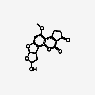 COc1cc2c(c3oc(=O)c4c(c13)CCC4=O)C1CC(O)OC1O2